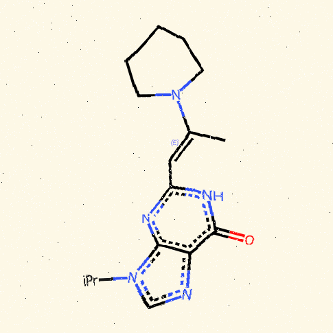 C/C(=C\c1nc2c(ncn2C(C)C)c(=O)[nH]1)N1CCCCC1